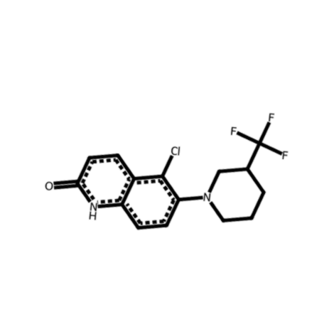 O=c1ccc2c(Cl)c(N3CCCC(C(F)(F)F)C3)ccc2[nH]1